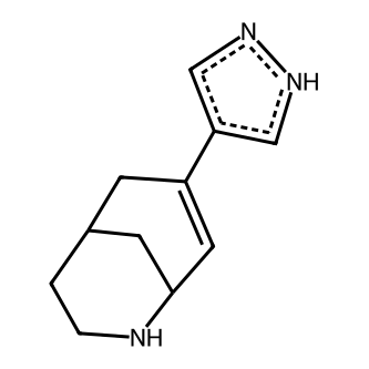 C1=C(c2cn[nH]c2)CC2CCNC1C2